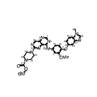 COc1cc(Nc2ncnc3cnc(N4CCN(C(=O)OC(C)(C)C)CC4)nc23)ccc1Oc1ccc2c(c1)ncn2C